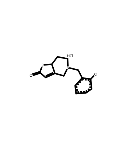 Cl.O=C1C=C2CN(Cc3ccccc3Cl)CCC2S1